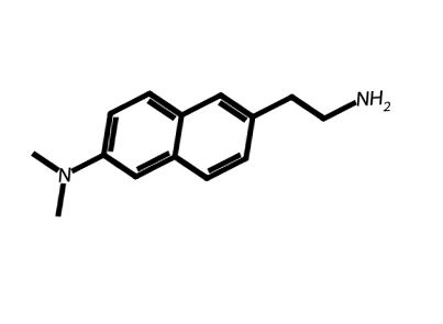 CN(C)c1ccc2cc(CCN)ccc2c1